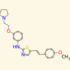 COc1ccc(/C=C/c2cnc(Nc3cccc(OCCN4CCCC4)c3)s2)cc1